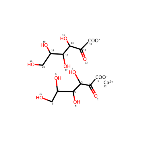 O=C([O-])C(=O)C(O)C(O)C(O)CO.O=C([O-])C(=O)C(O)C(O)C(O)CO.[Ca+2]